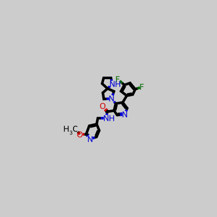 COc1cc(CNC(=O)c2cncc(-c3cc(F)cc(F)c3)c2N2CCC3(CCCN3)C2)ccn1